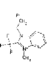 CCn1c(C(F)(F)F)[n+](C)c2ccccc21.[F-]